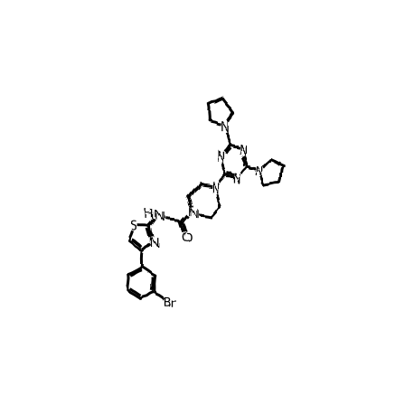 O=C(Nc1nc(-c2cccc(Br)c2)cs1)N1CCN(c2nc(N3CCCC3)nc(N3CCCC3)n2)CC1